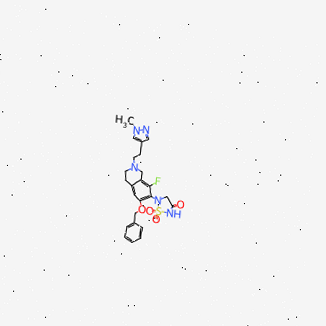 Cn1cc(CCN2CCc3cc(OCc4ccccc4)c(N4CC(=O)NS4(=O)=O)c(F)c3C2)cn1